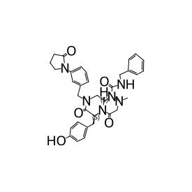 CN1CC(=O)N2[C@@H](Cc3ccc(O)cc3)C(=O)N(Cc3cccc(N4CCCC4=O)c3)C[C@@H]2N1C(=O)NCc1ccccc1